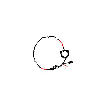 C#CC1(O)c2ccc(cc2)OCCCCCCCCCCCCOc2ccc1cc2